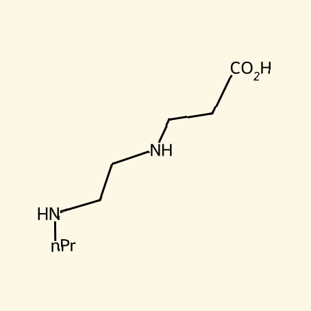 CCCNCCNCCC(=O)O